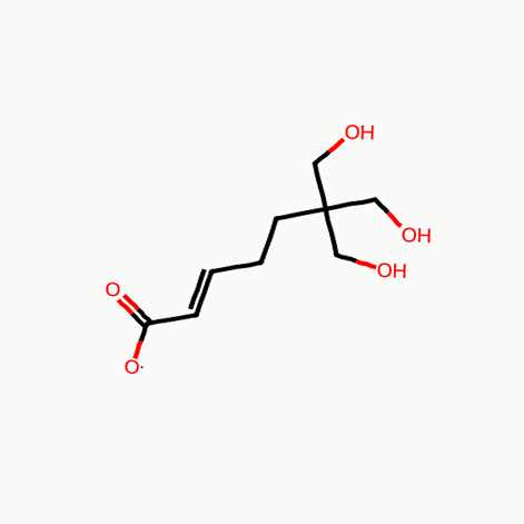 [O]C(=O)C=CCCC(CO)(CO)CO